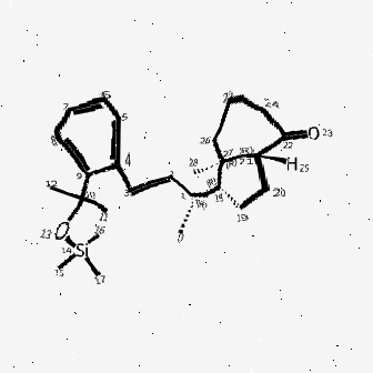 C[C@H](C=Cc1ccccc1C(C)(C)O[Si](C)(C)C)[C@H]1CC[C@H]2C(=O)CCC[C@]12C